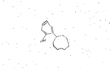 Oc1ccccc1C1CCCCCC1